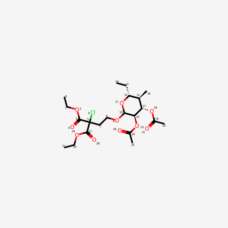 CCOC(=O)C(Cl)(CCOC1O[C@H](CC)[C@@H](C)[C@H](OC(C)=O)[C@H]1OC(C)=O)C(=O)OCC